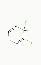 FC1=C[CH]C=CC1(F)F